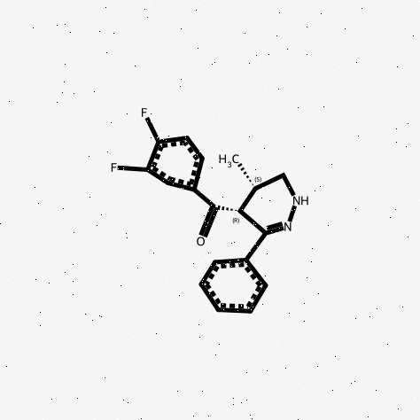 C[C@@H]1CNN=C(c2ccccc2)[C@@H]1C(=O)c1ccc(F)c(F)c1